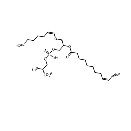 CCCCCCCCC/C=C\CCCCCCCC(=O)O[C@H](CO/C=C\CCCCCCCCCCCCCC)COP(=O)(O)OC[C@H](N)C(=O)O